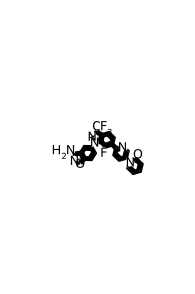 Nc1noc2ccc(-n3nc(C(F)(F)F)c4ccc(-c5ccc(-n6ccccc6=O)cn5)c(F)c43)cc12